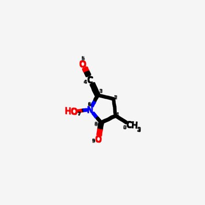 CC1CC(=C=O)N(O)C1=O